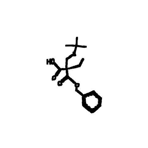 CC[C@](CSC(C)(C)C)(C(=O)O)C(=O)OCc1ccccc1